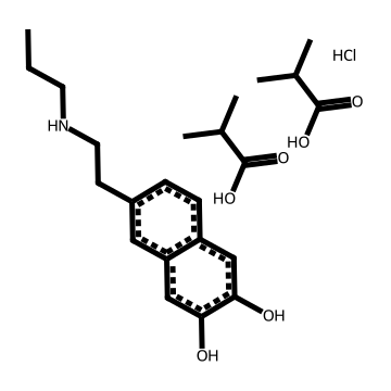 CC(C)C(=O)O.CC(C)C(=O)O.CCCNCCc1ccc2cc(O)c(O)cc2c1.Cl